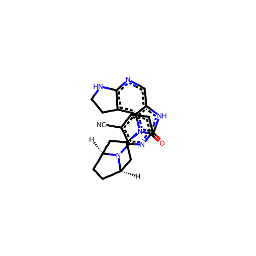 N#Cc1cccnc1N1[C@@H]2CC[C@H]1C[C@@H](n1c(=O)[nH]c3cnc4c(c31)CCN4)C2